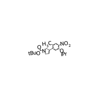 Cc1cc([N+](=O)[O-])c(OC(C)C)cc1C1=CCN(C(=O)OC(C)(C)C)C1